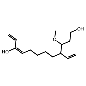 C=C/C(O)=C\CCCCC(C=C)C(CCO)OC